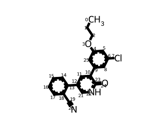 CCCOc1cc(Cl)cc(-c2cc(-c3ccccc3C#N)c[nH]c2=O)c1